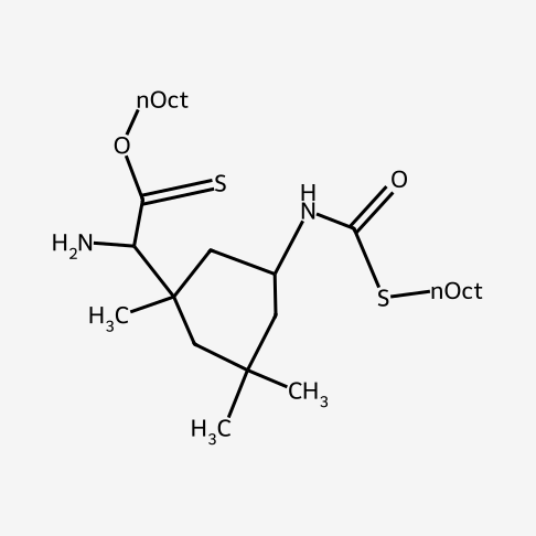 CCCCCCCCOC(=S)C(N)C1(C)CC(NC(=O)SCCCCCCCC)CC(C)(C)C1